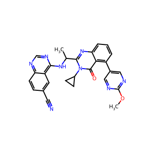 COc1ncc(-c2cccc3nc(C(C)Nc4ncnc5ccc(C#N)cc45)n(C4CC4)c(=O)c23)cn1